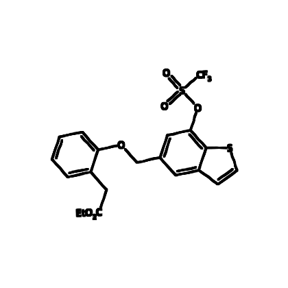 CCOC(=O)Cc1ccccc1OCc1cc(OS(=O)(=O)C(F)(F)F)c2sccc2c1